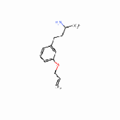 C=CCOc1cccc(CCC(N)C(=O)O)c1